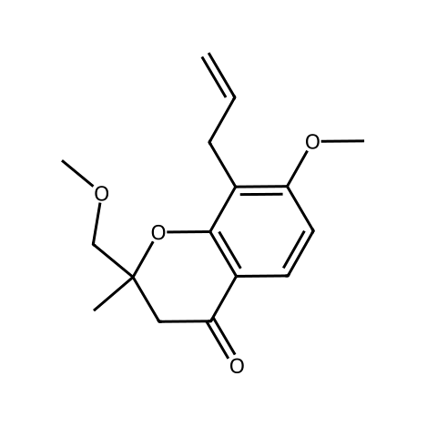 C=CCc1c(OC)ccc2c1OC(C)(COC)CC2=O